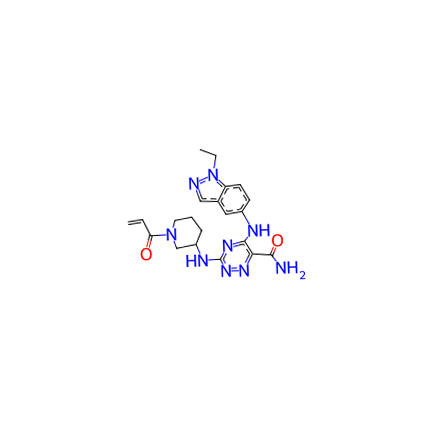 C=CC(=O)N1CCCC(Nc2nnc(C(N)=O)c(Nc3ccc4c(cnn4CC)c3)n2)C1